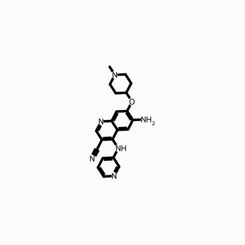 CN1CCC(Oc2cc3ncc(C#N)c(Nc4cccnc4)c3cc2N)CC1